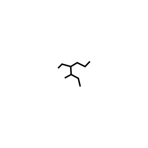 CCC[C](CC)C(C)CC